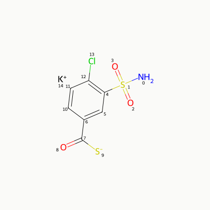 NS(=O)(=O)c1cc(C(=O)[S-])ccc1Cl.[K+]